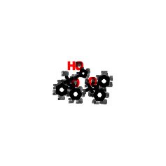 CC(C)(C)[Si](OC[C@H]1C[C@@H](O)[C@@H]1CO[Si](c1ccccc1)(c1ccccc1)C(C)(C)C)(c1ccccc1)c1ccccc1